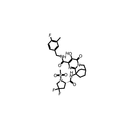 Cc1cc(CNC(=O)c2nc3n(c(=O)c2O)CC2CCC3(NC(=O)[C@@H]3CC(F)(F)CN3S(C)(=O)=O)CC2)ccc1F